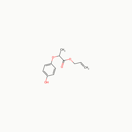 C=CCOC(=O)C(C)Oc1ccc(O)cc1